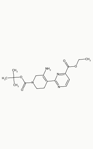 CCOC(=O)c1ccnc(C2=C(N)CN(C(=O)OC(C)(C)C)CC2)n1